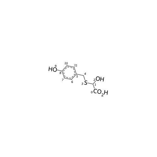 O=C(O)C(O)SCc1ccc(O)cc1